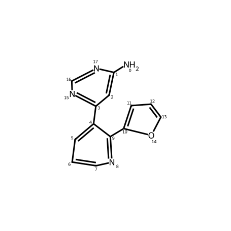 Nc1cc(-c2cccnc2-c2ccco2)ncn1